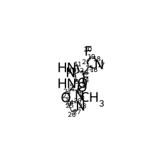 CN1C(=O)[C@@H](NC(=O)c2n[nH]cc2[C@@H](F)c2cncc(F)c2)COc2cccnc21